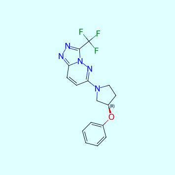 FC(F)(F)c1nnc2ccc(N3CC[C@@H](Oc4ccccc4)C3)nn12